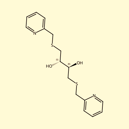 O[C@H](CSCc1ccccn1)[C@@H](O)CSCc1ccccn1